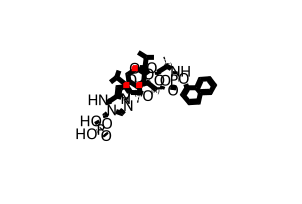 CC(C)C(=O)O[C@H]1[C@@H](OC(=O)C(C)C)[C@](C)(c2ccc3c(=N)n(COP(=O)(O)O)cnn23)O[C@@H]1COP(=O)(N[C@@H](C)C(=O)OC1CCCCC1)Oc1cccc2ccccc12